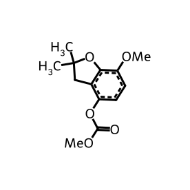 COC(=O)Oc1ccc(OC)c2c1CC(C)(C)O2